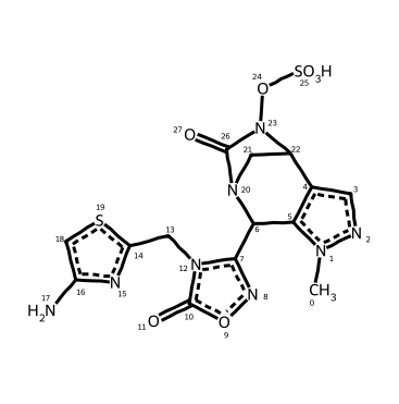 Cn1ncc2c1C(c1noc(=O)n1Cc1nc(N)cs1)N1CC2N(OS(=O)(=O)O)C1=O